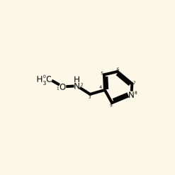 CONCc1cccnc1